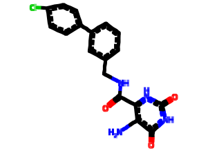 Nc1c(C(=O)NCc2cccc(-c3ccc(Cl)cc3)c2)[nH]c(=O)[nH]c1=O